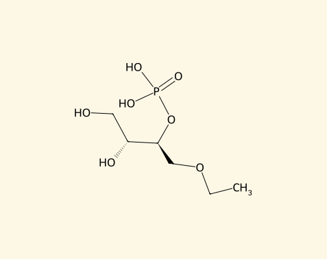 CCOC[C@H](OP(=O)(O)O)[C@H](O)CO